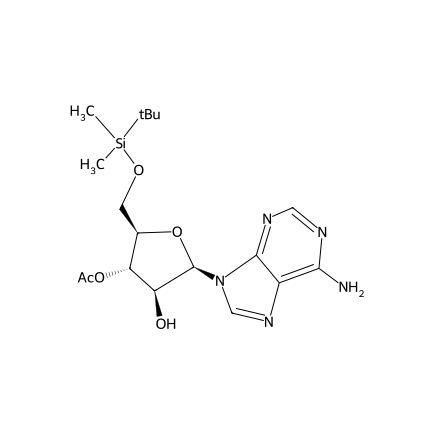 CC(=O)O[C@H]1[C@H](O)[C@H](n2cnc3c(N)ncnc32)O[C@@H]1CO[Si](C)(C)C(C)(C)C